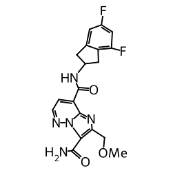 COCc1nc2c(C(=O)NC3Cc4cc(F)cc(F)c4C3)ccnn2c1C(N)=O